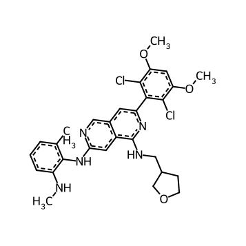 CNc1cccc(C)c1Nc1cc2c(NCC3CCOC3)nc(-c3c(Cl)c(OC)cc(OC)c3Cl)cc2cn1